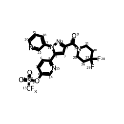 O=C(c1cc(-c2ccc(OS(=O)(=O)C(F)(F)F)cn2)n(-c2cccnc2)n1)N1CCC(F)(F)CC1